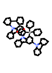 c1ccc(-c2ccccc2-n2c3ccccc3c3c(-n4c5ccccc5c5cc(-n6c7ccccc7c7ccccc76)cc([Si](c6ccccc6)(c6ccccc6)c6ccccc6)c54)cccc32)cc1